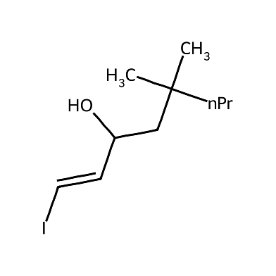 CCCC(C)(C)CC(O)C=CI